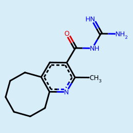 Cc1nc2c(cc1C(=O)NC(=N)N)CCCCCC2